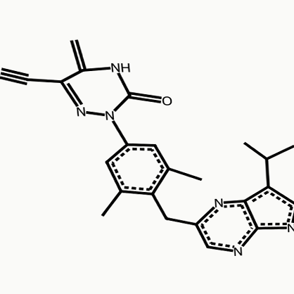 C=C1NC(=O)N(c2cc(C)c(Cc3cnc4[nH]cc(C(C)C)c4n3)c(C)c2)N=C1C#N